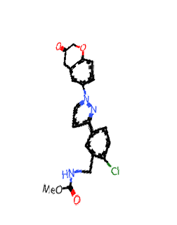 COC(=O)NCc1cc(-c2ccn(-c3ccc4c(c3)CC(=O)CO4)n2)ccc1Cl